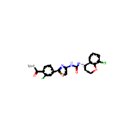 COC(=O)c1ccc(-c2nc(NC(=O)N[C@H]3CCOc4c(Cl)cccc43)cs2)cc1F